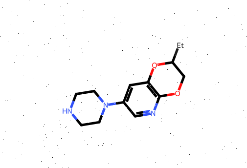 CCC1COc2ncc(N3CCNCC3)cc2O1